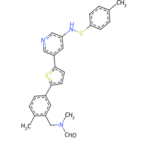 Cc1ccc(SNc2cncc(-c3ccc(-c4ccc(C)c(CN(C)C=O)c4)s3)c2)cc1